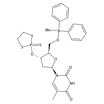 Cc1cn([C@H]2C[C@H](OP3(=S)SCCS3)[C@@H](CO[Si](c3ccccc3)(c3ccccc3)C(C)(C)C)O2)c(=O)[nH]c1=O